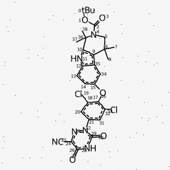 CC(C)(C)OC(=O)N1CC(C)(C)c2c([nH]c3ccc(Oc4c(Cl)cc(-n5nc(C#N)c(=O)[nH]c5=O)cc4Cl)cc23)C1(C)C